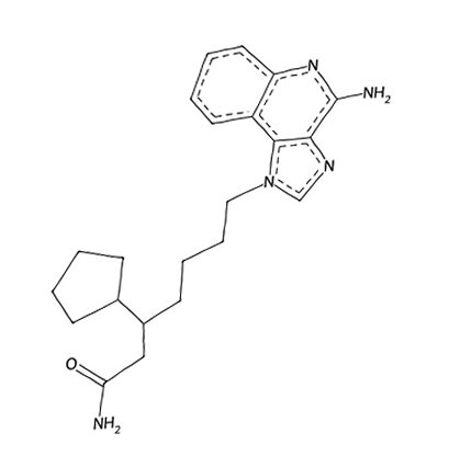 NC(=O)CC(CCCCn1cnc2c(N)nc3ccccc3c21)C1CCCC1